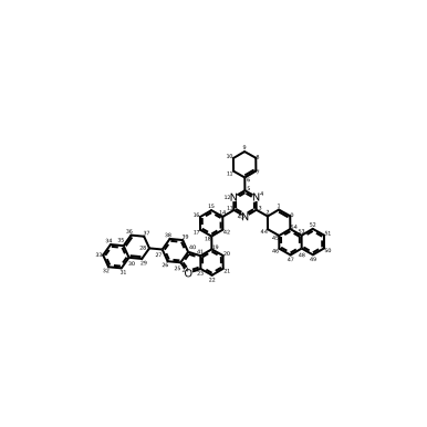 C1=CC(c2nc(C3=CCCCC3)nc(-c3cccc(-c4cccc5oc6cc(C7C=c8ccccc8=CC7)ccc6c45)c3)n2)Cc2ccc3ccccc3c21